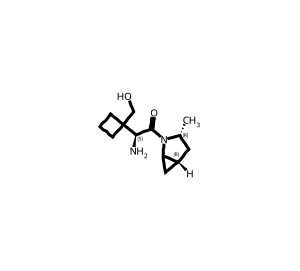 C[C@@H]1C[C@@H]2CC2N1C(=O)[C@@H](N)C1(CO)CCC1